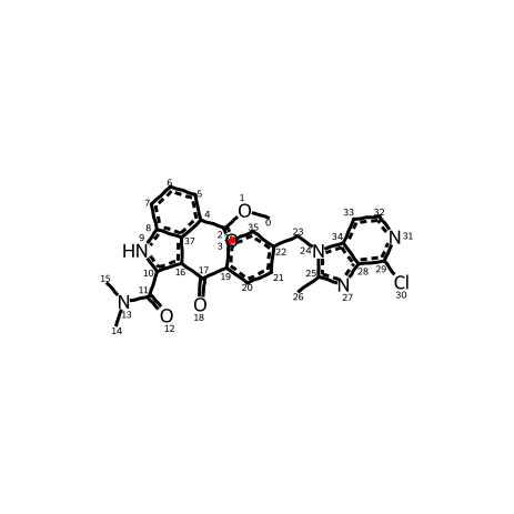 COC(=O)c1cccc2[nH]c(C(=O)N(C)C)c(C(=O)c3ccc(Cn4c(C)nc5c(Cl)nccc54)cc3)c12